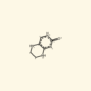 O=c1nc2c(c[nH]1)NCCN2